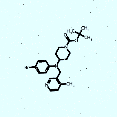 Cc1ccncc1CN(c1ccc(Br)cc1)C1CCN(C(=O)OC(C)(C)C)CC1